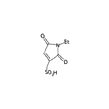 CCN1C(=O)C=C(S(=O)(=O)O)C1=O